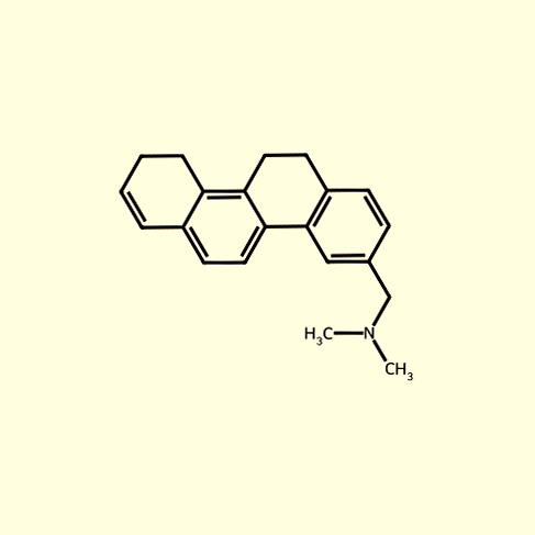 CN(C)Cc1ccc2c(c1)-c1ccc3c(c1CC2)CCC=C3